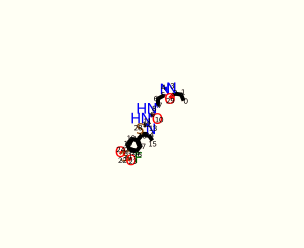 CCc1nnc(CCNC(=O)Nc2nc(C)c(-c3ccc(S(C)(=O)=O)c(F)c3)s2)o1